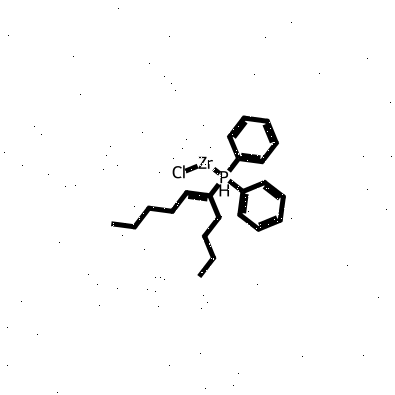 CCCCC=C(CCCC)[PH]([Zr][Cl])(c1ccccc1)c1ccccc1